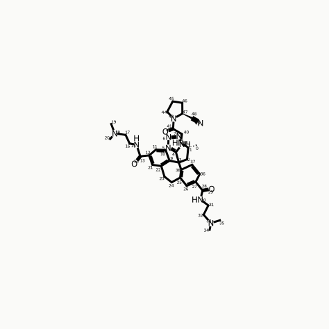 C[C@H](CC1(c2nnn[nH]2)c2ccc(C(=O)NCCN(C)C)cc2CCc2cc(C(=O)NCCN(C)C)ccc21)NCC(=O)N1CCC[C@H]1C#N